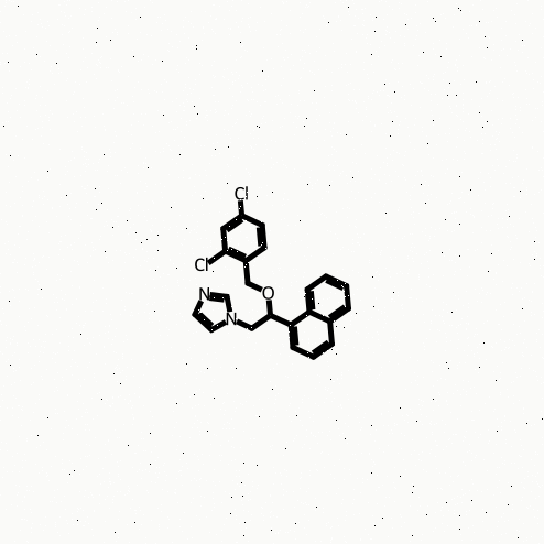 Clc1ccc(COC(Cn2ccnc2)c2cccc3ccccc23)c(Cl)c1